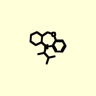 CC(C)C(C)N1c2ccccc2OCC2CCCCC21